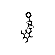 CCN1C(=O)C(=Cc2nc3oc(-c4ccccc4)cc3o2)C(=O)N(CC)C1=S